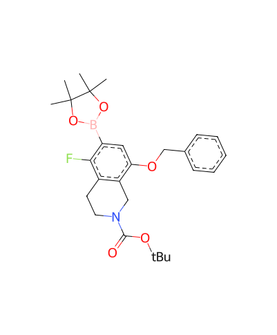 CC(C)(C)OC(=O)N1CCc2c(F)c(B3OC(C)(C)C(C)(C)O3)cc(OCc3ccccc3)c2C1